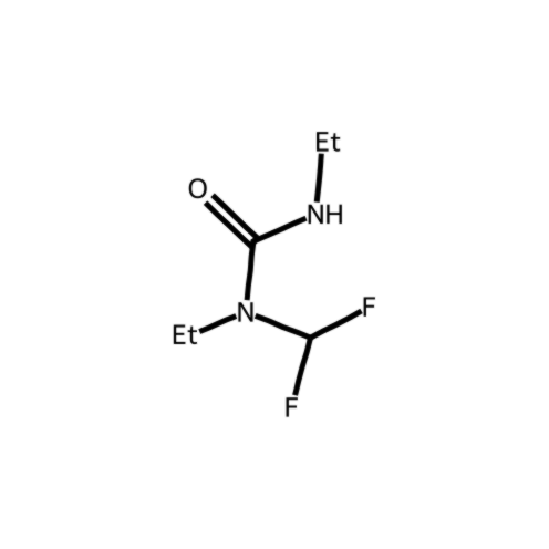 CCNC(=O)N(CC)C(F)F